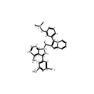 C[C@@H](c1cc2ccccn2c1-c1cccc(CN(C)C)c1)n1nc(-c2cc(O)cc(F)c2)c2c(N)ncnc21